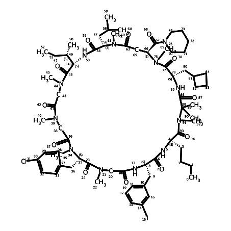 CCCC[C@@H]1NC(=O)[C@H](Cc2cccc(I)c2)NC(=O)CN(C)C(=O)[C@H](Cc2ccc(Cl)cc2)N(C)C(=O)CN(C)C(=O)CN(C)C(=O)[C@H]([C@@H](C)CC)NC(=O)[C@H](CC(C)C)N(C)C(=O)C[C@@H](C(=O)N2CCCCC2)N(C)C(=O)[C@H](CC2CCC2)NC(=O)C(C)(C)N(C)C1=O